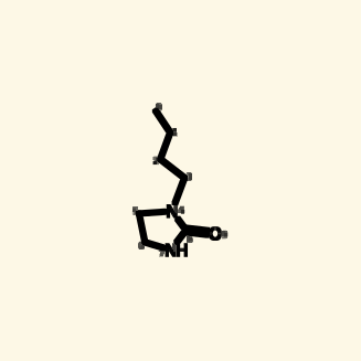 CCCCN1CCNC1=O